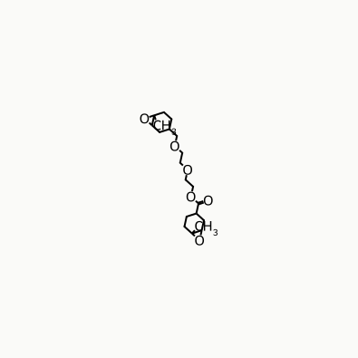 CC12CCC(COCCOCCOC(=O)C3CCC4(C)OC4C3)CC1O2